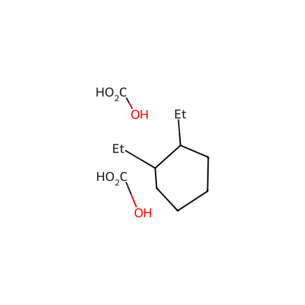 CCC1CCCCC1CC.O=C(O)O.O=C(O)O